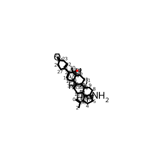 C=C(C)[C@@H]1CC[C@]2(N)CC[C@]3(C)[C@H](CC[C@@H]4[C@@]5(C)CC=C(C6=CCC(=O)CC6)C(C)(C)[C@@H]5CC[C@]43C)[C@@H]12